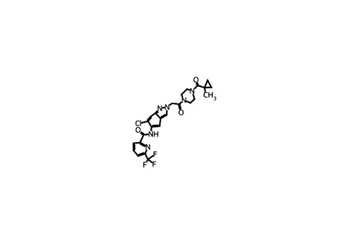 CC1(C(=O)N2CCN(C(=O)Cn3cc4cc(NC(=O)c5cccc(C(F)(F)F)n5)c(Cl)cc4n3)CC2)CC1